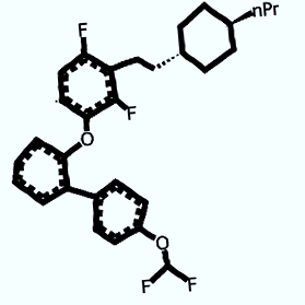 CCC[C@H]1CC[C@H](CCc2c(F)c[c]c(Oc3ccccc3-c3ccc(OC(F)F)cc3)c2F)CC1